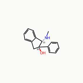 CN[C@H]1c2ccccc2C[C@@]1(O)c1ccccc1